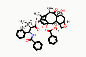 CCO[C@@]12CO[C@@H]1C[C@H](O)[C@@]1(C)C(=O)[C@H](OC(C)=O)C3=C(C)[C@@H](OC(=O)[C@@H]([C@@H](NC(=O)c4ccccc4)c4ccccc4)[Si](C)(C)C(C)(C)C)C[C@@](O)([C@@H](OC(=O)c4ccccc4)[C@H]21)C3(C)C